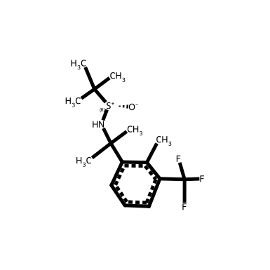 Cc1c(C(F)(F)F)cccc1C(C)(C)N[S@@+]([O-])C(C)(C)C